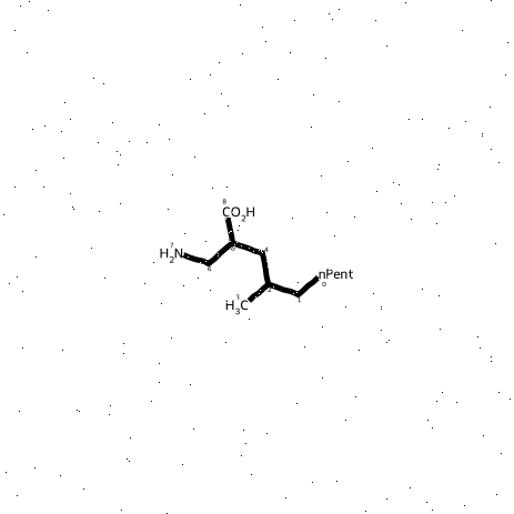 CCCCCCC(C)CC(CN)C(=O)O